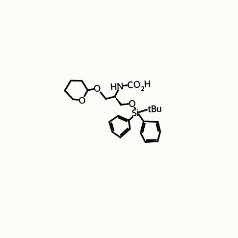 CC(C)(C)[Si](OC[C@@H](COC1CCCCO1)NC(=O)O)(c1ccccc1)c1ccccc1